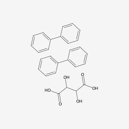 O=C(O)C(O)C(O)C(=O)O.c1ccc(-c2ccccc2)cc1.c1ccc(-c2ccccc2)cc1